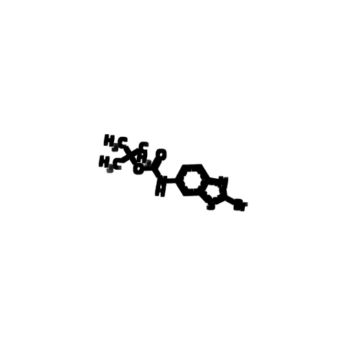 CC(C)(C)OC(=O)Nc1ccc2nc(Br)sc2c1